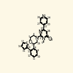 Cn1c(N2CCOC(c3ccccc3-c3cccs3)C2)nc(-c2ccncc2)cc1=O